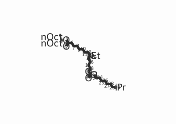 CCCCCCCCC(CCCCCCCC)OC(=O)CCCCCCCN(CC)CCCCOC(=O)OCCCCCCCC(C)C